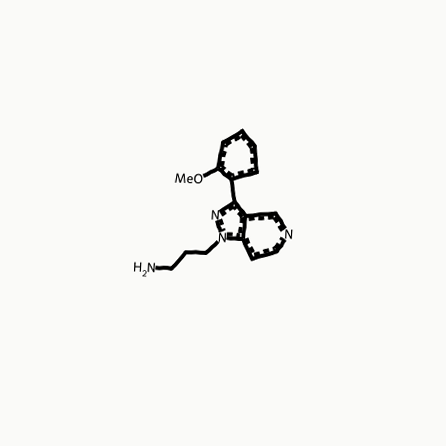 COc1ccccc1-c1nn(CCCN)c2ccncc12